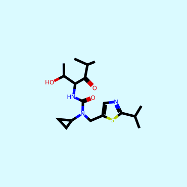 CC(C)C(=O)C(NC(=O)N(Cc1cnc(C(C)C)s1)C1CC1)C(C)O